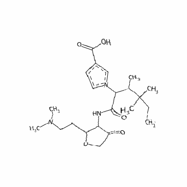 [CH2]CC(C)(C)C(C)C(C(=O)NC1C(=O)COC1CCN(C)C)n1ccc(C(=O)O)c1